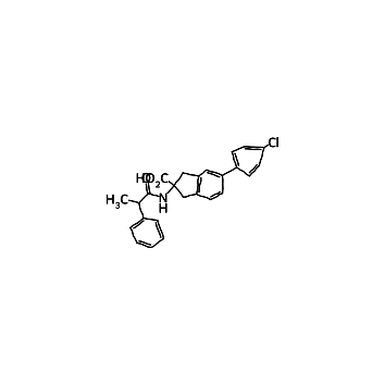 CC(C(=O)NC1(C(=O)O)Cc2ccc(-c3ccc(Cl)cc3)cc2C1)c1ccccc1